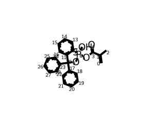 C=C(C)C(=O)OP(O)(=S)OC(c1ccccc1)(c1ccccc1)c1ccccc1